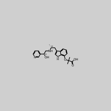 C[C@H](Cc1c[nH]c2c(OC(C)(C)C(=O)O)cccc12)NC[C@@H](O)c1cccnc1